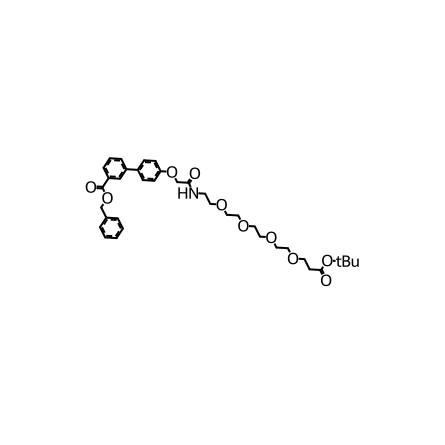 CC(C)(C)OC(=O)CCOCCOCCOCCOCCNC(=O)COc1ccc(-c2cccc(C(=O)OCc3ccccc3)c2)cc1